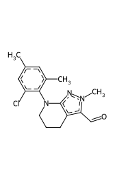 Cc1cc(C)c(N2CCCc3c2nn(C)c3C=O)c(Cl)c1